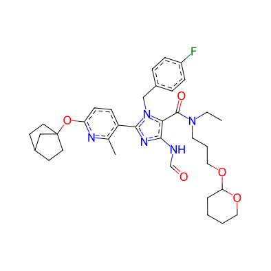 CCN(CCCOC1CCCCO1)C(=O)c1c(NC=O)nc(-c2ccc(OC34CCC(CC3)C4)nc2C)n1Cc1ccc(F)cc1